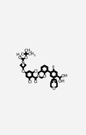 CC(C)(C)OC(=O)N1CC(Oc2cc(Cl)c(C(=O)N3COc4c(cccc4-c4cc(N5C6CCC5COC6)c(C(O)O)cc4F)C3)c(Cl)c2)C1